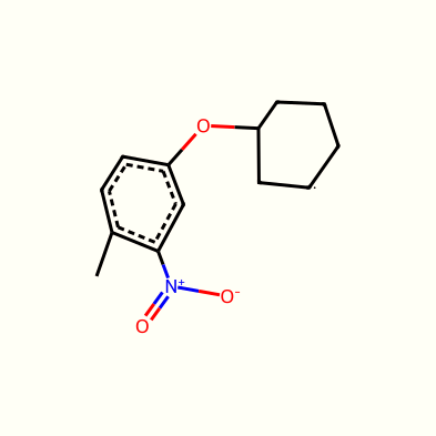 Cc1ccc(OC2C[CH]CCC2)cc1[N+](=O)[O-]